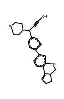 OC#CC(c1ccc(-c2ccc3c(c2)NCC2CCC=C32)cc1)N1CCNCC1